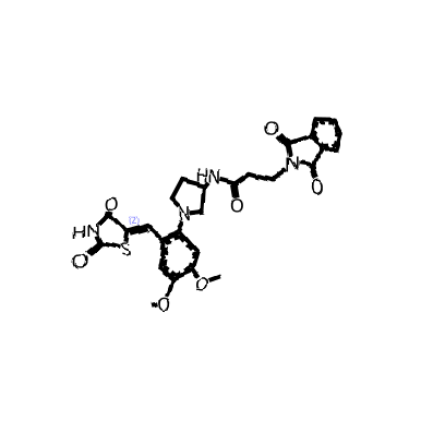 COc1cc(/C=C2\SC(=O)NC2=O)c(N2CCC(NC(=O)CCN3C(=O)c4ccccc4C3=O)C2)cc1OC